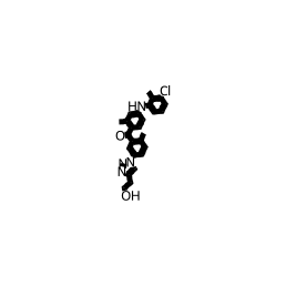 Cc1cc(Nc2cccc(Cl)c2C)ccc1C(=O)c1cc(-n2cc(CCO)nn2)ccc1C